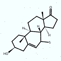 C[C@]12CC[C@H](O)CC1=CC([S])[C@@H]1[C@@H]2CC[C@]2(C)C(=O)CC[C@@H]12